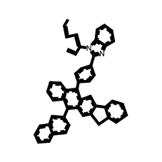 C=C/C(=C\C=C/C)n1c(-c2ccc(-c3c4ccccc4c(-c4ccc5ccccc5c4)c4cc5c(cc34)-c3ccccc3C5)cc2)nc2ccccc21